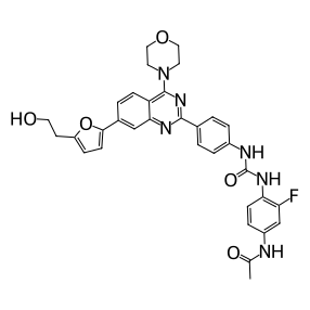 CC(=O)Nc1ccc(NC(=O)Nc2ccc(-c3nc(N4CCOCC4)c4ccc(-c5ccc(CCO)o5)cc4n3)cc2)c(F)c1